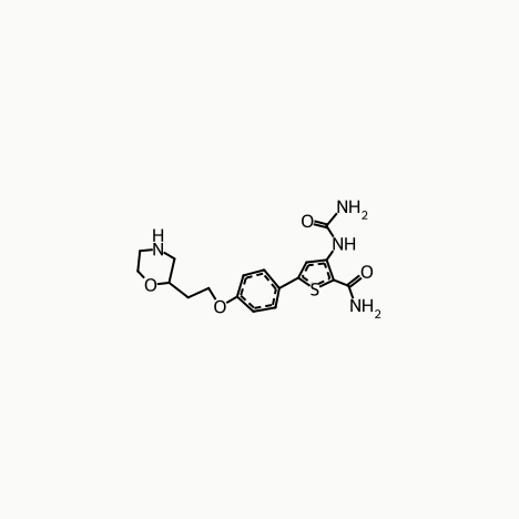 NC(=O)Nc1cc(-c2ccc(OCCC3CNCCO3)cc2)sc1C(N)=O